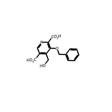 O=C(O)c1cnc(C(=O)O)c(OCc2ccccc2)c1CO